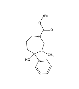 CC1CN(C(=O)OC(C)(C)C)CCCC1(O)c1ccccc1